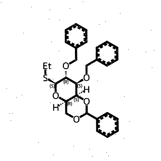 CCS[C@@H]1O[C@@H]2COC(c3ccccc3)O[C@@H]2[C@H](OCc2ccccc2)[C@H]1OCc1ccccc1